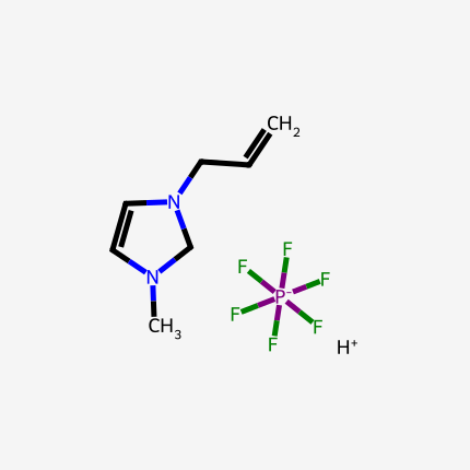 C=CCN1C=CN(C)C1.F[P-](F)(F)(F)(F)F.[H+]